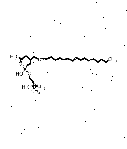 CCCCCCCCCCCCCCCCCOCC(COP(O)OCC[N+](C)(C)C)CC(C)=O